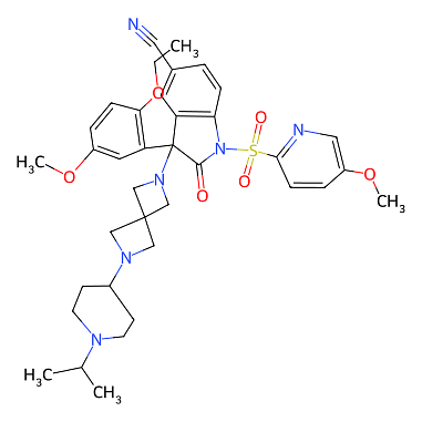 CCOc1ccc(OC)cc1C1(N2CC3(CN(C4CCN(C(C)C)CC4)C3)C2)C(=O)N(S(=O)(=O)c2ccc(OC)cn2)c2ccc(C#N)cc21